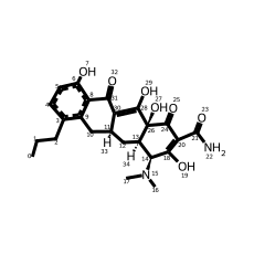 CCCc1ccc(O)c2c1C[C@@H]1C[C@@H]3[C@H](N(C)C)C(O)=C(C(N)=O)C(=O)[C@@]3(O)C(O)=C1C2=O